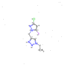 CCn1cc(Cn2nc(Cl)cc2I)nn1